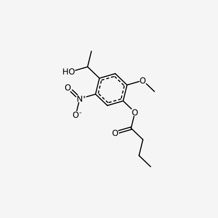 CCCC(=O)Oc1cc([N+](=O)[O-])c(C(C)O)cc1OC